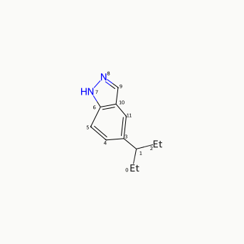 CCC(CC)c1ccc2[nH]ncc2c1